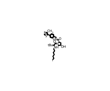 Cc1ncsc1-c1ccc(CNC(=O)[C@@H]2C[C@@H](O)CN2C(=O)C(NCCCCCCI)C(C)(C)C)cc1